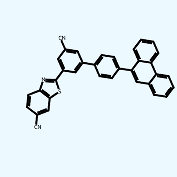 N#Cc1cc(-c2ccc(-c3cc4ccccc4c4ccccc34)cc2)cc(-c2nc3ccc(C#N)cc3s2)c1